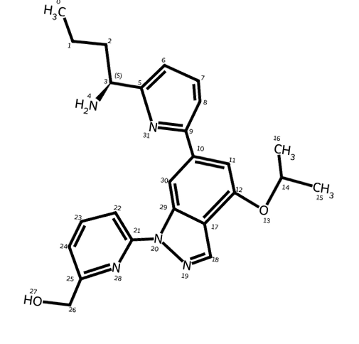 CCC[C@H](N)c1cccc(-c2cc(OC(C)C)c3cnn(-c4cccc(CO)n4)c3c2)n1